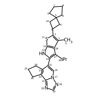 Cc1c(C2CC3(CCCC3)C2)sc2[nH]c(-c3cn4ncnc4c4c3CCC4)c(C(C)C)c12